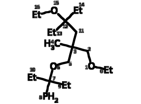 CCOCC(C)(COC(P)(CC)CC)CC(CC)(CC)OCC